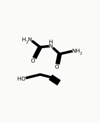 C#CCO.NC(=O)NC(N)=O